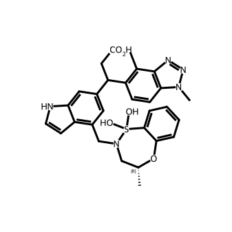 Cc1c(C(CC(=O)O)c2cc(CN3C[C@@H](C)Oc4ccccc4S3(O)O)c3cc[nH]c3c2)ccc2c1nnn2C